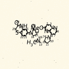 COc1ccc2nccc(N3CC[C@H](CN(C)C[C@@H]4CN(c5ccc6c(c5)NC(=O)CS6)C(=O)O4)C3)c2n1